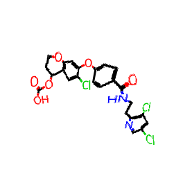 O=C(O)OC1CCOc2cc(Oc3ccc(C(=O)NCCc4ncc(Cl)cc4Cl)cc3)c(Cl)cc21